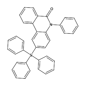 O=c1c2ccccc2c2cc([Si](c3ccccc3)(c3ccccc3)c3ccccc3)ccc2n1-c1ccccc1